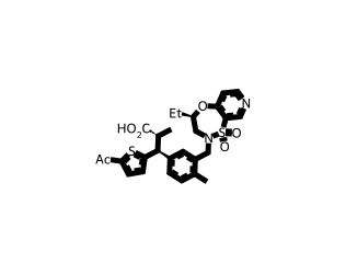 CC[C@@H]1CN(Cc2cc([C@@H](c3ccc(C(C)=O)s3)[C@@H](C)C(=O)O)ccc2C)S(=O)(=O)c2cnccc2O1